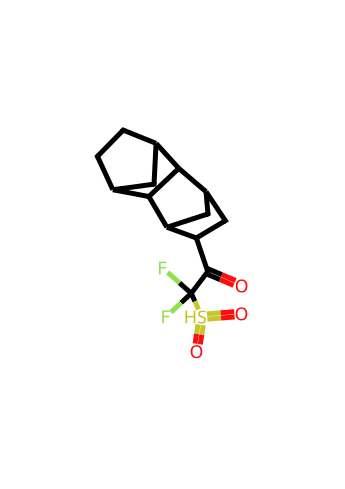 O=C(C1CC2CC1C1C3CCC(C3)C21)C(F)(F)[SH](=O)=O